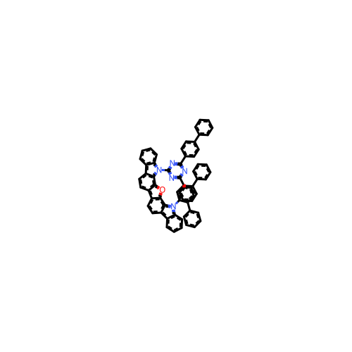 c1ccc(-c2ccc(-c3nc(-c4ccccc4-c4ccccc4)nc(-n4c5ccccc5c5ccc6c7ccc8c9ccccc9n(-c9ccccc9-c9ccccc9)c8c7oc6c54)n3)cc2)cc1